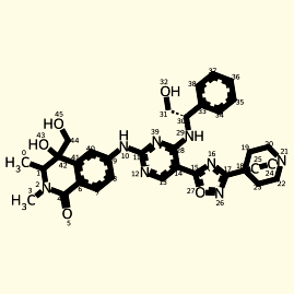 CC1N(C)C(=O)c2ccc(Nc3ncc(-c4nc(C56CCN(CC5)CC6)no4)c(N[C@H](CO)c4ccccc4)n3)cc2C1(O)CO